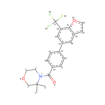 CC1(C)COCCN1C(=O)c1ccc(-c2cc(C(F)(F)F)c3occc3c2)cc1